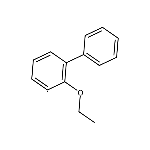 CCOc1[c]cccc1-c1ccccc1